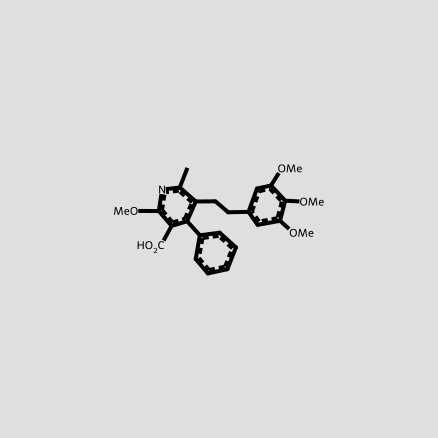 COc1cc(CCc2c(C)nc(OC)c(C(=O)O)c2-c2ccccc2)cc(OC)c1OC